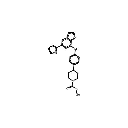 CC(C)(C)OC(=O)N1CCC(c2ccc(Nc3nc(-c4nccs4)cn4ccnc34)cc2)CC1